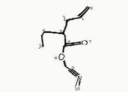 C=CCC(CC)C(=O)OC#N